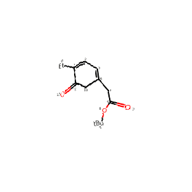 CCC1=CC=C(CC(=O)OC(C)(C)C)CC1=O